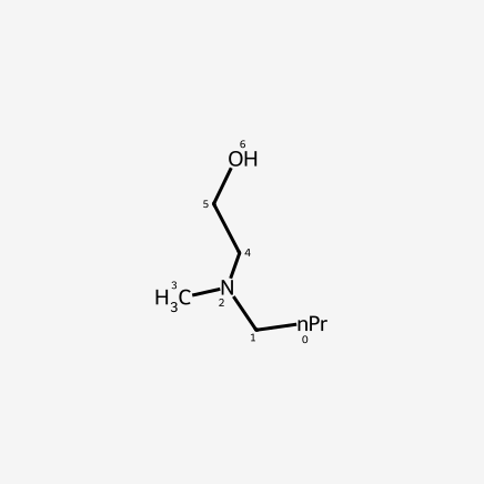 [CH2]CCCN(C)CCO